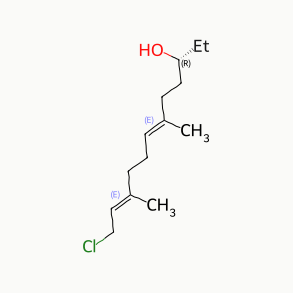 CC[C@@H](O)CC/C(C)=C/CC/C(C)=C/CCl